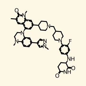 Cc1cc2c(N3CCN(C)c4ccc(-c5cnn(C)c5)cc43)cc(C3CCN(CC4CCN(c5ccc(NC6CCC(=O)NC6=O)cc5F)CC4)CC3)cc2n(C)c1=O